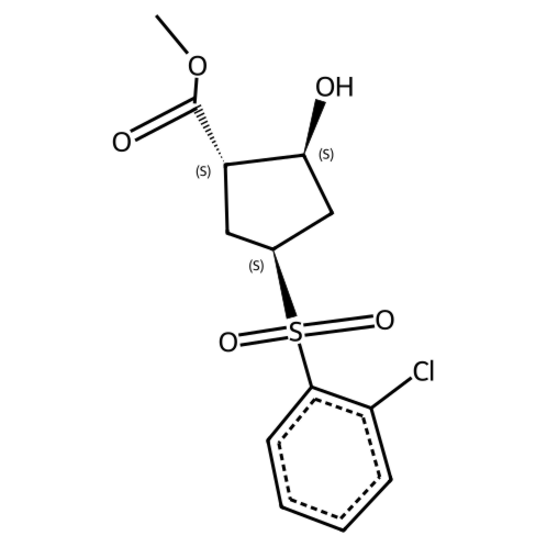 COC(=O)[C@H]1C[C@H](S(=O)(=O)c2ccccc2Cl)C[C@@H]1O